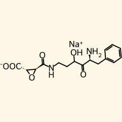 N[C@@H](Cc1ccccc1)C(=O)C(O)CCNC(=O)[C@H]1O[C@@H]1C(=O)[O-].[Na+]